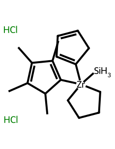 CC1=C(C)C(C)[C]([Zr]2([SiH3])([C]3=CC=CC3)[CH2]CC[CH2]2)=C1C.Cl.Cl